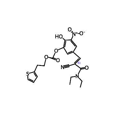 CCN(CC)C(=O)/C(C#N)=C/c1cc(OC(=O)OCCc2cccs2)c(O)c([N+](=O)[O-])c1